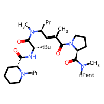 CCCCCN(C)C(=O)[C@@H]1CCCN1C(=O)/C(C)=C/[C@H](C(C)C)N(C)C(=O)[C@@H](NC(=O)[C@H]1CCCCN1C(C)C)C(C)(C)C